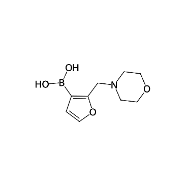 OB(O)c1ccoc1CN1CCOCC1